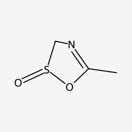 CC1=NCS(=O)O1